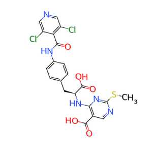 CSc1ncc(C(=O)O)c(N[C@@H](Cc2ccc(NC(=O)c3c(Cl)cncc3Cl)cc2)C(=O)O)n1